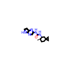 C[C@@H]1CCC2(CC2)C[C@@H]1NC(=O)Nc1cnc2[nH]ccc2n1